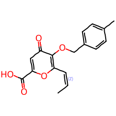 C/C=C\c1oc(C(=O)O)cc(=O)c1OCc1ccc(C)cc1